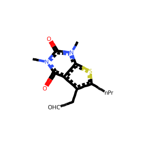 CCCc1sc2c(c1CC=O)c(=O)n(C)c(=O)n2C